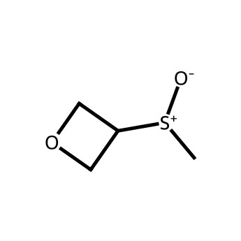 C[S+]([O-])C1COC1